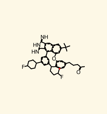 CC(=O)CCCc1cccc(Oc2cc(C(C)(C)C)cc3cc4c(c(-c5cc(C6CCC(F)CC6)cc(C6CCC(F)CC6)c5)c23)C(=N)NC4=N)c1